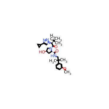 COc1cccc(C(C)(C)CNC(=O)[C@@H]2C[C@@H](O)CN2C(=O)[C@@H](n2cc(C3CC3)nn2)C(C)(C)C)c1